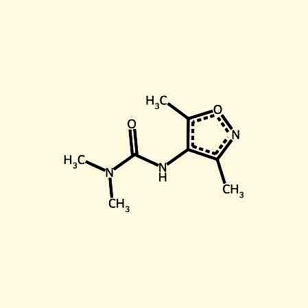 Cc1noc(C)c1NC(=O)N(C)C